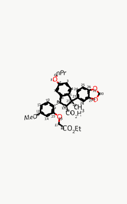 CCCOc1ccc2c(c1)[C@@H](c1ccc(OC)cc1OCC(=O)OCC)[C@H](C(=O)O)[C@@]2(C)c1ccc2c(c1)OCO2